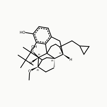 CO[C@]12CC[C@@]3(CC1C(C)(O)C(C)(C)C)[C@H]1Cc4ccc(O)c5c4C3(CCC1CC1CC1)[C@H]2O5